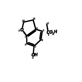 CC(=O)O.Oc1ccc2c(c1)OCC2